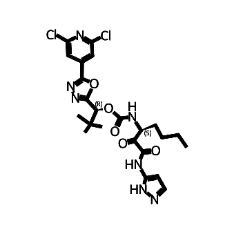 CCCC[C@H](NC(=O)O[C@@H](c1nnc(-c2cc(Cl)nc(Cl)c2)o1)C(C)(C)C)C(=O)C(=O)Nc1ccn[nH]1